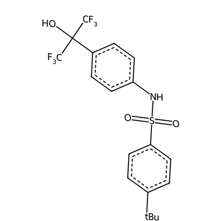 CC(C)(C)c1ccc(S(=O)(=O)Nc2ccc(C(O)(C(F)(F)F)C(F)(F)F)cc2)cc1